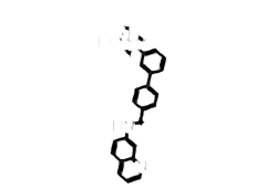 CN(C)S(=O)(=O)c1cccc(-c2ccc(C(=O)Nc3ccc4cccnc4c3)cc2)c1